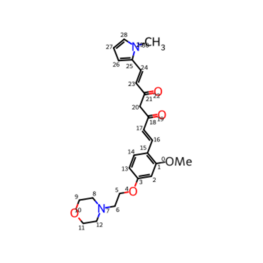 COc1cc(OCCN2CCOCC2)ccc1/C=C/C(=O)CC(=O)/C=C/c1cccn1C